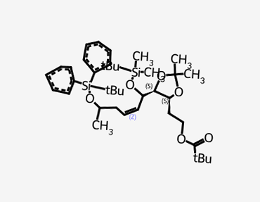 CC(C/C=C\C(O[Si](C)(C)C(C)(C)C)[C@H]1OC(C)(C)O[C@H]1CCOC(=O)C(C)(C)C)O[Si](c1ccccc1)(c1ccccc1)C(C)(C)C